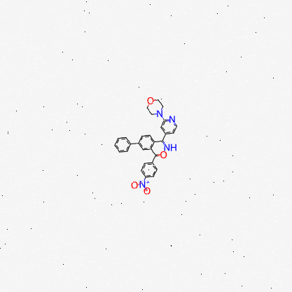 N=C(c1ccnc(N2CCOCC2)c1)c1ccc(-c2ccccc2)cc1C(=O)c1ccc([N+](=O)[O-])cc1